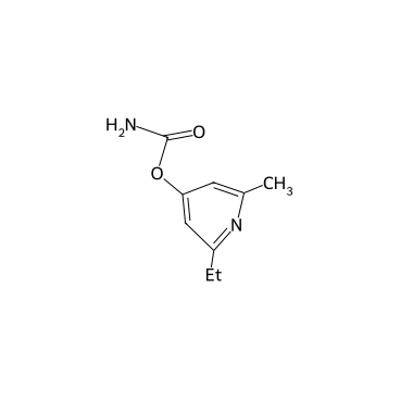 CCc1cc(OC(N)=O)cc(C)n1